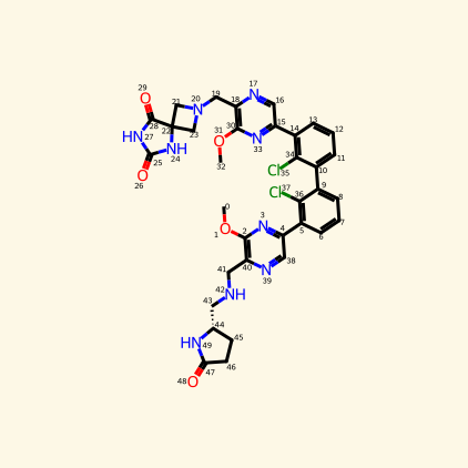 COc1nc(-c2cccc(-c3cccc(-c4cnc(CN5CC6(C5)NC(=O)NC6=O)c(OC)n4)c3Cl)c2Cl)cnc1CNC[C@@H]1CCC(=O)N1